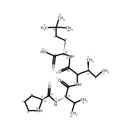 CC[C@H](C)C(NC(=O)[C@@H](NC(=O)[C@@H]1CCCN1)C(C)C)C(=O)N[C@@H](CCC(C)(C)C)C(=O)O